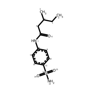 CCC(C)CC(=O)Nc1ccc(S(N)(=O)=O)cc1